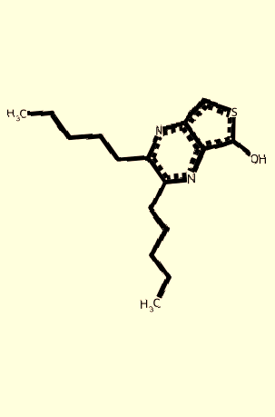 CCCCCc1nc2csc(O)c2nc1CCCCC